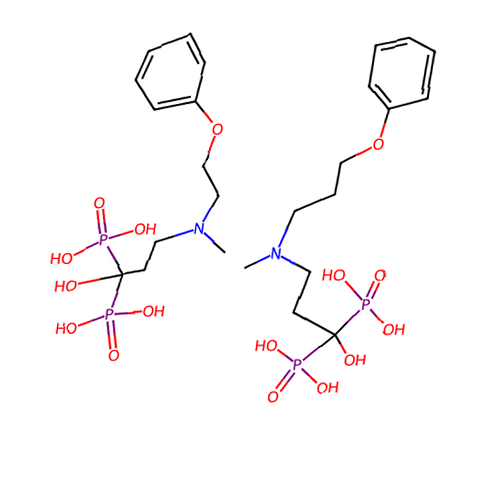 CN(CCCOc1ccccc1)CCC(O)(P(=O)(O)O)P(=O)(O)O.CN(CCOc1ccccc1)CCC(O)(P(=O)(O)O)P(=O)(O)O